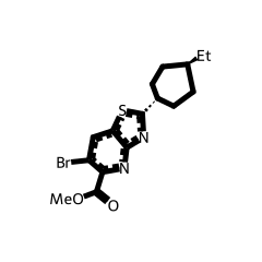 CC[C@H]1CC[C@H](c2nc3nc(C(=O)OC)c(Br)cc3s2)CC1